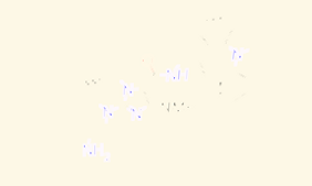 CC#CCn1c(N2CCCC(N)C2)nc(NC)c1C(=O)NCC1=Cc2ccccc2N(C)c2ccccc21